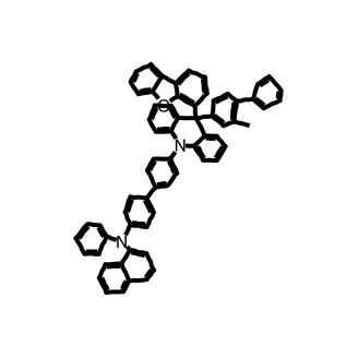 Cc1cc(C2(c3cccc4c3oc3ccccc34)c3ccccc3N(c3ccc(-c4ccc(N(c5ccccc5)c5cccc6ccccc56)cc4)cc3)c3ccccc32)ccc1-c1ccccc1